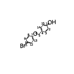 Oc1ccc(COc2ccc(Br)cc2)cc1